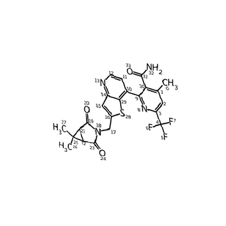 Cc1cc(C(F)(F)F)nc(-c2ccnc3cc(CN4C(=O)C5C(C4=O)C5(C)C)sc23)c1C(N)=O